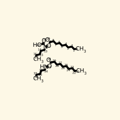 CCCCCCCCCC(=O)ON(CCCCC)C(=O)O.CCCCCCCCCC(=O)ONCCCCC